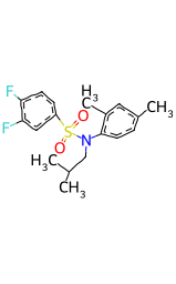 Cc1ccc(N(CC(C)C)S(=O)(=O)c2ccc(F)c(F)c2)c(C)c1